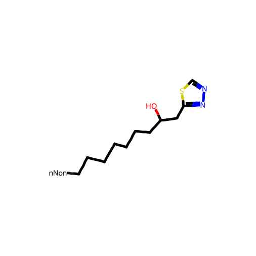 CCCCCCCCCCCCCCCCC(O)Cc1nncs1